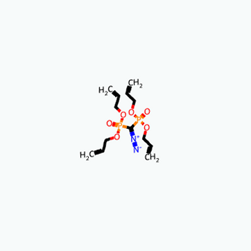 C=CCOP(=O)(OCC=C)C(=[N+]=[N-])P(=O)(OCC=C)OCC=C